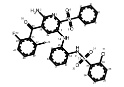 Nc1nc(S(=O)(=O)c2ccccc2)c(Nc2ccccc2NS(=O)(=O)c2ccccc2Cl)cc1C(=O)c1c(F)cccc1F